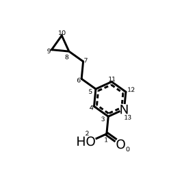 O=C(O)c1cc(CCC2CC2)ccn1